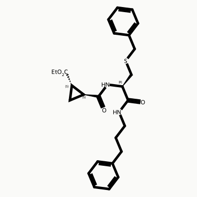 CCOC(=O)[C@H]1C[C@@H]1C(=O)N[C@@H](CSCc1ccccc1)C(=O)NCCCc1ccccc1